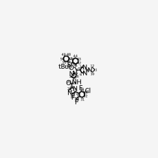 CC(C)(C)[Si](OCC(c1cnc(N2CCC2)nc1)n1cc(NC(=O)c2cncc(-c3c(C(F)F)ccc(Cl)c3F)n2)cn1)(c1ccccc1)c1ccccc1